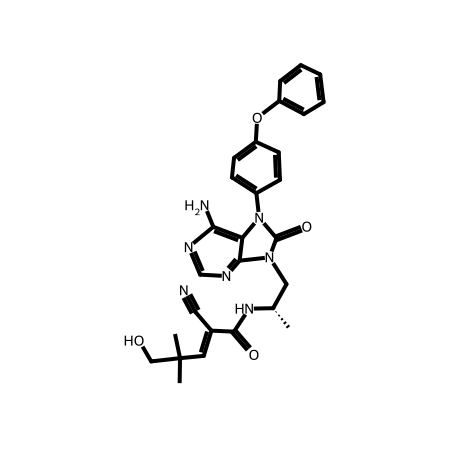 C[C@@H](Cn1c(=O)n(-c2ccc(Oc3ccccc3)cc2)c2c(N)ncnc21)NC(=O)/C(C#N)=C/C(C)(C)CO